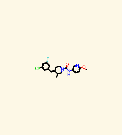 COc1ccc(NC(=O)N2CCC(=Cc3cc(F)cc(Cl)c3)C(C)C2)cn1